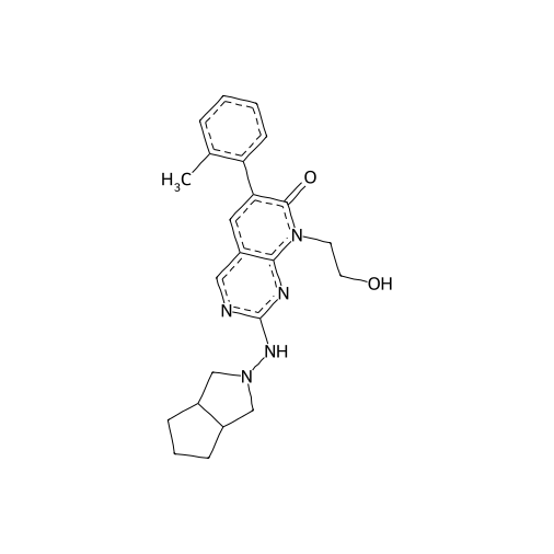 Cc1ccccc1-c1cc2cnc(NN3CC4CCCC4C3)nc2n(CCO)c1=O